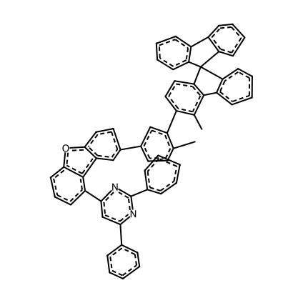 Cc1ccc(-c2ccc3oc4cccc(-c5cc(-c6ccccc6)nc(-c6ccccc6)n5)c4c3c2)cc1-c1ccc2c(c1C)-c1ccccc1C21c2ccccc2-c2ccccc21